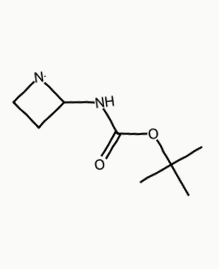 CC(C)(C)OC(=O)NC1CC[N]1